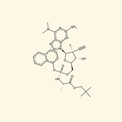 C#C[C@@]1(F)[C@H](O)[C@@H](CO[P@@](=O)(N[C@@H](C)C(=O)OCC(C)(C)C)Oc2cccc3ccccc23)O[C@H]1n1cnc2c(N(C)C)nc(N)nc21